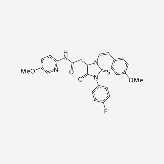 COc1ccc(/C=C\N2C(=S)N(c3ccc(F)cc3)C(=O)C2CC(=O)Nc2ccc(OC)cn2)cc1